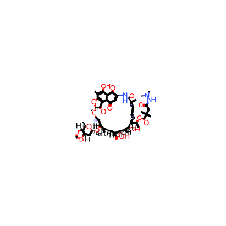 CC(=O)O[C@H]1[C@H](C)[C@H](O)[C@H](C)[C@@H](O)[C@@H](C(C)OC(=O)C(C)(C)CC(=O)NN(C)C)/C=C/C=C(/C)C(=O)NC2=CC(=O)c3c(c(O)c(C)c4c3C(=O)[C@@](C)(O/C=C/[C@H](O[C@H]3C[C@@H]5OCO[C@@H]5[C@@H](C)O3)[C@H]1C)O4)C2=O